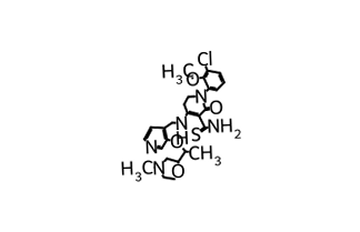 COc1c(Cl)cccc1N1CCC(NCc2ccncc2OC(C)C2CN(C)CCO2)=C(C(N)=S)C1=O